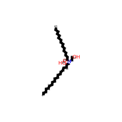 CCCCCCCCCCCCCCCCCC(O)CN(CCO)C(=O)CCCCCCCCCCCCCCC